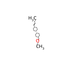 CCC/C=C/[C@H]1CC[C@H](C2CCC(COCCC)CC2)CC1